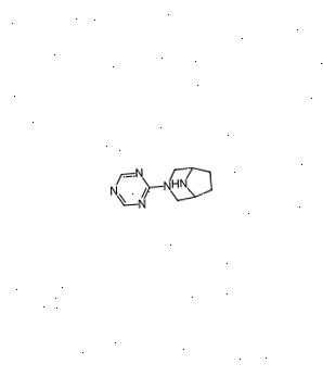 c1ncnc(N2CC3CCC(C2)N3)n1